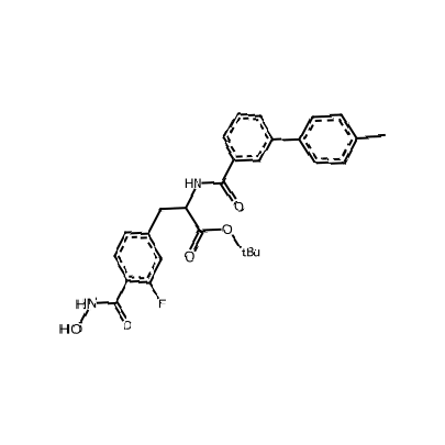 Cc1ccc(-c2cccc(C(=O)NC(Cc3ccc(C(=O)NO)c(F)c3)C(=O)OC(C)(C)C)c2)cc1